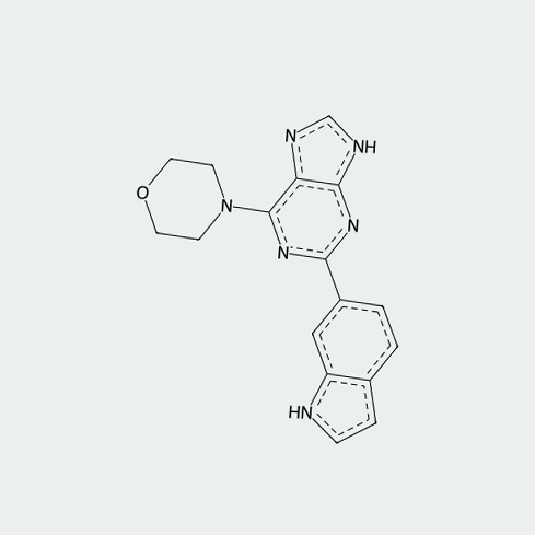 c1cc2ccc(-c3nc(N4CCOCC4)c4nc[nH]c4n3)cc2[nH]1